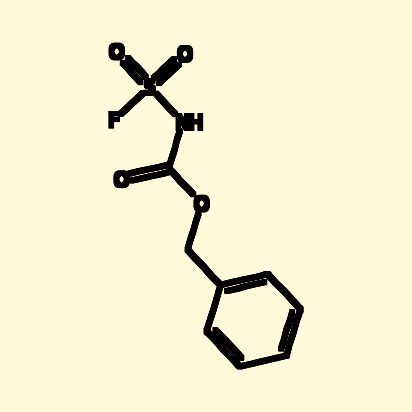 O=C(NS(=O)(=O)F)OCc1ccccc1